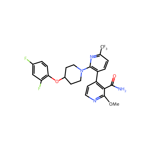 COc1nccc(-c2ccc(C(F)(F)F)nc2N2CCC(Oc3ccc(F)cc3F)CC2)c1C(N)=O